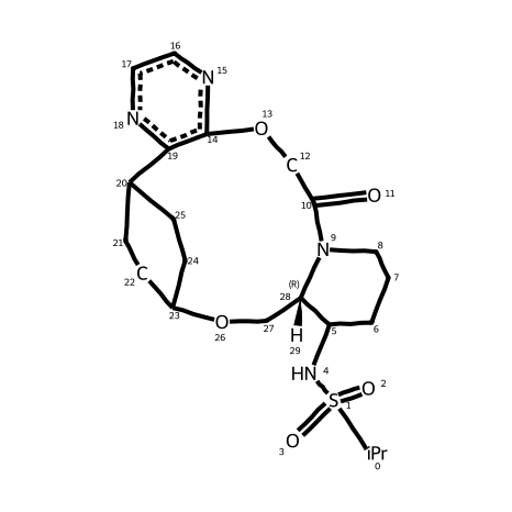 CC(C)S(=O)(=O)NC1CCCN2C(=O)COc3nccnc3C3CCC(CC3)OC[C@@H]12